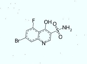 NS(=O)(=O)c1cnc2cc(Br)cc(F)c2c1O